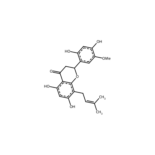 COc1cc(C2CC(=O)c3c(O)cc(O)c(CC=C(C)C)c3O2)c(O)cc1O